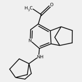 CC(=O)c1cnc(NC23CCC(CC2)C3)c2c1C1CCC2C1